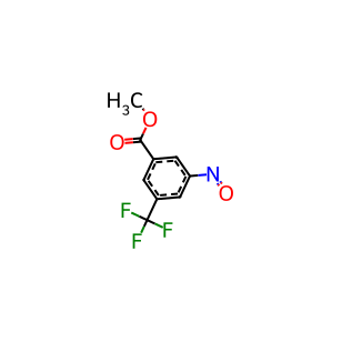 COC(=O)c1cc(N=O)cc(C(F)(F)F)c1